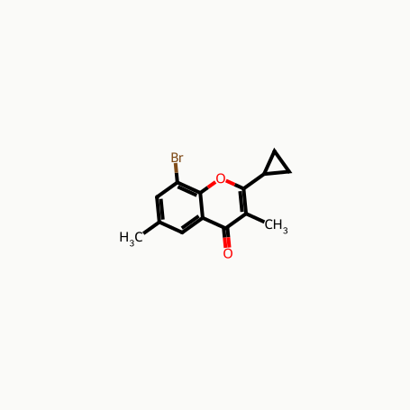 Cc1cc(Br)c2oc(C3CC3)c(C)c(=O)c2c1